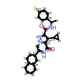 CC(NC(=O)c1nn2cc(-c3ccc4ccccc4c3)[nH]c(=O)c2c1C1CC1)c1ccc(F)cc1